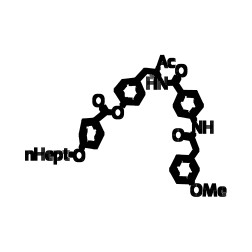 CCCCCCCOc1ccc(C(=O)Oc2ccc(C[C@H](NC(=O)c3ccc(NC(=O)Cc4cccc(OC)c4)cc3)C(C)=O)cc2)cc1